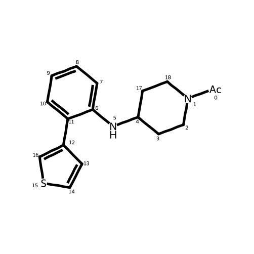 CC(=O)N1CCC(Nc2ccccc2-c2ccsc2)CC1